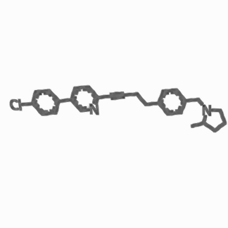 CC1CCCN1Cc1ccc(CCC#Cc2ccc(-c3ccc(Cl)cc3)cn2)cc1